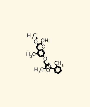 CCO/C(=C/c1ccc(OCc2nc(-c3ccccc3C)oc2C)cc1C)C(=O)O